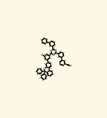 N#Cc1cccc(-c2cccc(-c3nc(-c4cccc(-c5ccccc5)c4)nc(-c4cc(F)cc(-c5ccc6c(c5)OC(c5ccccc5)(c5ccccc5)c5ccccc5-6)c4)n3)c2)c1